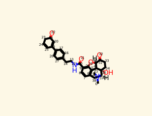 CN1CC[C@]23c4c5ccc(C(=O)NCCc6ccc(C7=CC(=O)CC=C7)cc6)c4O[C@H]2C(=O)CC[C@@]3(O)[C@H]1C5